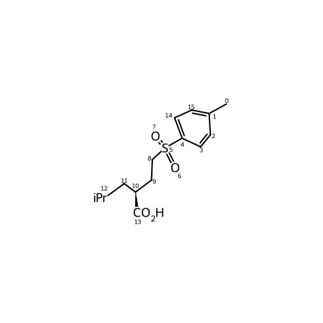 Cc1ccc(S(=O)(=O)CC[C@H](CC(C)C)C(=O)O)cc1